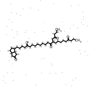 CCCC(=O)CCCCCC(CC(=O)CCC)C(=O)CCCCCCCCC(=O)CCCCC1CCC2CC(=O)CC12